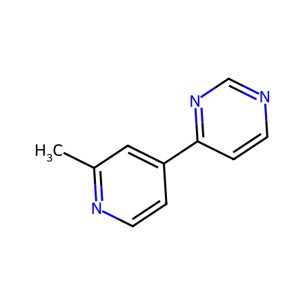 Cc1cc(-c2ccncn2)ccn1